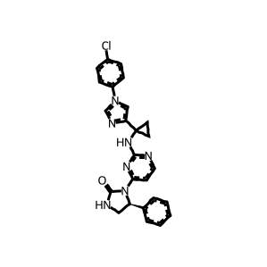 O=C1NC[C@H](c2ccccc2)N1c1ccnc(NC2(c3cn(-c4ccc(Cl)cc4)cn3)CC2)n1